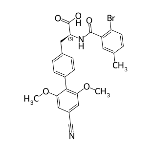 COc1cc(C#N)cc(OC)c1-c1ccc(C[C@H](NC(=O)c2cc(C)ccc2Br)C(=O)O)cc1